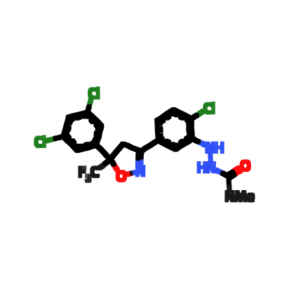 CNC(=O)NNc1cc(C2=NOC(c3cc(Cl)cc(Cl)c3)(C(F)(F)F)C2)ccc1Cl